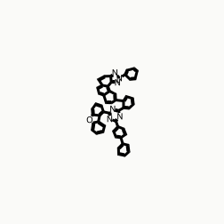 c1ccc(-c2ccc(-c3nc(-c4ccccc4-c4ccc5ccc6ccc7nn(-c8ccccc8)nc7c6c5c4)nc(-c4cccc5oc6ccccc6c45)n3)cc2)cc1